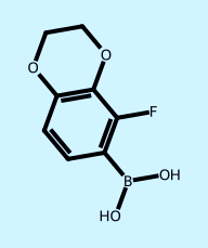 OB(O)c1ccc2c(c1F)OCCO2